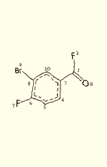 O=C(F)c1ccc(F)c(Br)c1